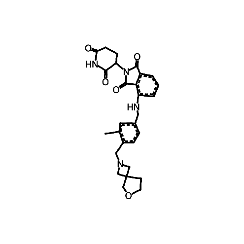 Cc1cc(CNc2cccc3c2C(=O)N(C2CCC(=O)NC2=O)C3=O)ccc1CN1CC2(CCOC2)C1